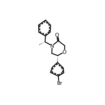 C[C@H](c1ccccc1)N1C[C@@H](c2ccc(Br)cc2)OCC1=O